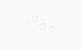 Oc1cccc(Nc2cc(C(F)(F)F)nc(-c3ccccn3)n2)c1